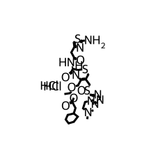 CC(OC(=O)CC1CCCCC1)OC(=O)C1=C(CSc2nnnn2CCN(C)C)CS[C@H]2[C@H](NC(=O)Cc3csc(N)n3)C(=O)N12.Cl.Cl